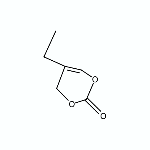 CCC1=COC(=O)OC1